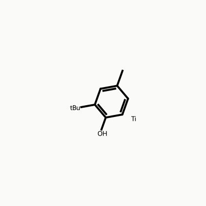 Cc1ccc(O)c(C(C)(C)C)c1.[Ti]